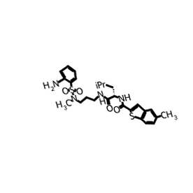 Cc1ccc2sc(C(=O)N[C@@H](CC(C)C)C(=O)NCCCN(C)S(=O)(=O)c3ccccc3N)cc2c1